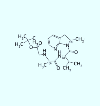 [CH2][C@H]1Cc2cccnc2N1C(=O)[C@@H](NC(=O)[C@H](C)NCC(=O)OC(C)(C)C)C(C)C